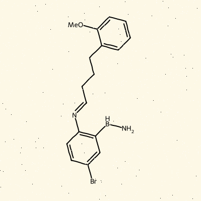 COc1ccccc1CCCC=Nc1ccc(Br)cc1BN